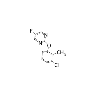 Cc1c(Cl)cccc1Oc1ncc(F)cn1